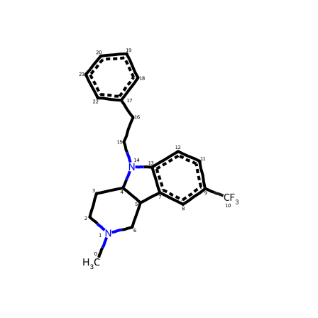 CN1CCC2C(C1)c1cc(C(F)(F)F)ccc1N2CCc1ccccc1